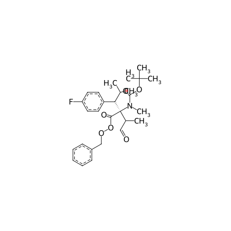 CC(C)C(c1ccc(F)cc1)[C@@](C(=O)OOCc1ccccc1)(C(C)C=O)N(C)C(=O)OC(C)(C)C